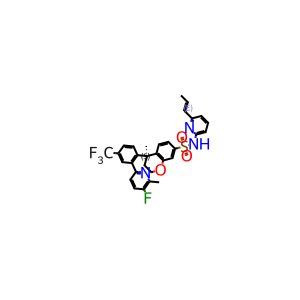 C/C=C/c1cccc(NS(=O)(=O)c2ccc3c(c2)OCC[C@@]3(C)c2ccc(C(F)(F)F)cc2-c2ccc(F)c(C)n2)n1